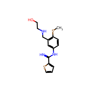 CSc1ccc(NC(=N)c2cccs2)cc1CNCCO